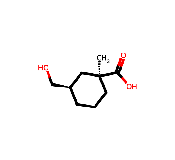 C[C@]1(C(=O)O)CCC[C@@H](CO)C1